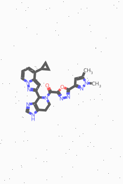 Cc1cc(-c2nnc(C(=O)N3CCc4[nH]cnc4C3c3cc4c(C5CC5)cccn4n3)o2)nn1C